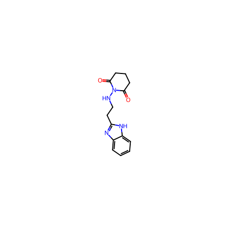 O=C1CCCC(=O)N1NCCc1nc2ccccc2[nH]1